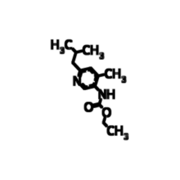 CCOC(=O)Nc1cnc(CC(C)C)cc1C